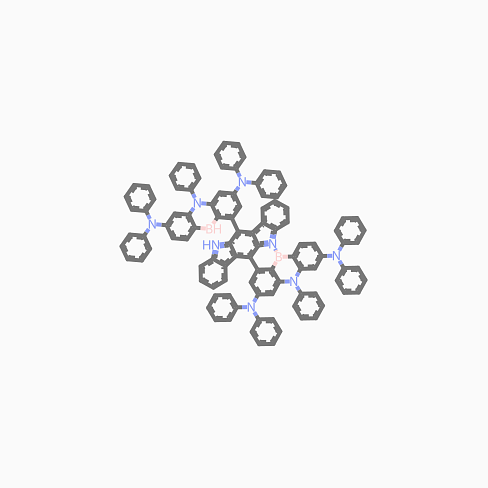 B1c2ccc(N(c3ccccc3)c3ccccc3)cc2N(c2ccccc2)c2cc(N(c3ccccc3)c3ccccc3)cc(-c3c4[nH]c5ccccc5c4c4c5c3c3ccccc3n5B3c5ccc(N(c6ccccc6)c6ccccc6)cc5N(c5ccccc5)c5cc(N(c6ccccc6)c6ccccc6)cc-4c53)c21